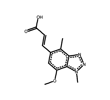 COc1cc(C=CC(=O)O)c(C)c2nnn(C)c12